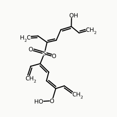 C=C/C(O)=C\C=C(/C=C)S(=O)(=O)/C(C=C)=C/C=C(\C=C)OO